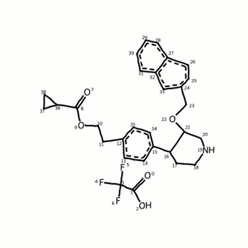 O=C(O)C(F)(F)F.O=C(OCCc1ccc(C2CCNCC2OCc2ccc3ccccc3c2)cc1)C1CC1